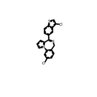 Clc1ccc2c(c1)-n1cccc1C(c1ccc3scc(Cl)c3c1)=NC2